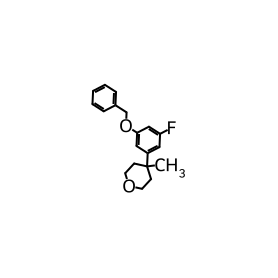 CC1(c2cc(F)cc(OCc3ccccc3)c2)CCOCC1